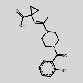 CC(=NC1(C(=O)O)CC1)N1CCN(C(=O)c2ccccc2Cl)CC1